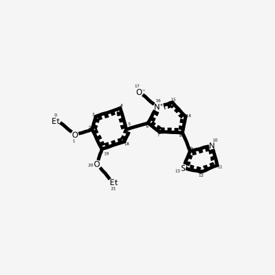 CCOc1ccc(-c2cc(-c3nccs3)cc[n+]2[O-])cc1OCC